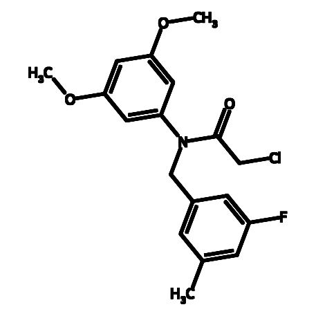 COc1cc(OC)cc(N(Cc2cc(C)cc(F)c2)C(=O)CCl)c1